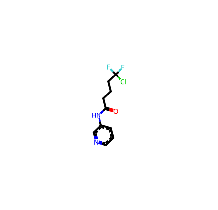 O=C(CCCC(F)(F)Cl)Nc1cccnc1